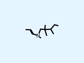 CC=CN(C)CC(C)(C)C(C)CC